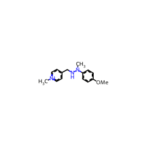 COc1ccc(N(C)NCc2cc[n+](C)cc2)cc1